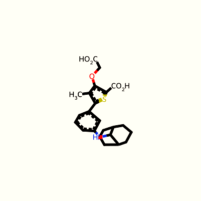 Cc1c(-c2cccc(NC3C4CCCC3CCC4)c2)sc(C(=O)O)c1OCC(=O)O